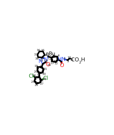 CCCCC(c1ccc(C(=O)NCCC(=O)O)cc1)N1C(=O)C(c2ccc(-c3c(Cl)cccc3Cl)cc2)=NC12CCCCC2